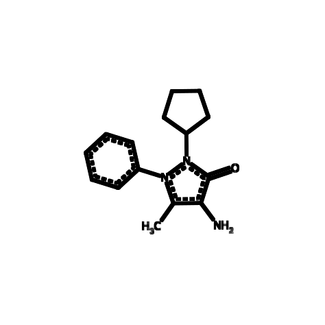 Cc1c(N)c(=O)n(C2CCCC2)n1-c1ccccc1